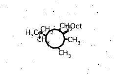 C=P(C)(C)C1CCCC(C)CC(C)C(=CCCCCCCCC)C(C)CC1